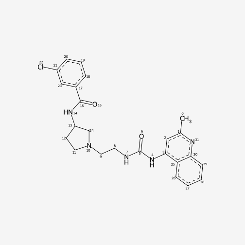 Cc1cc(NC(=O)NCCN2CCC(NC(=O)c3cccc(Cl)c3)C2)c2ccccc2n1